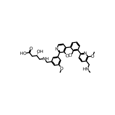 CNCc1ccc(-c2cccc(-c3ccnc(-c4cc(CNC[C@@H](O)CC(=O)O)cc(OC)c4)c3Cl)c2Cl)nc1OC